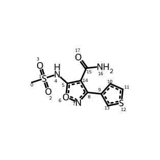 CS(=O)(=O)Nc1onc(-c2ccsc2)c1C(N)=O